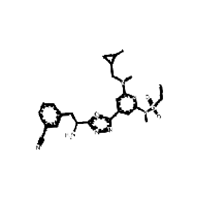 CCS(=O)(=O)N(C)c1cc(-c2nnc(C(N)Cc3cccc(C#N)c3)o2)cc(N(C)CC2CC2C)n1